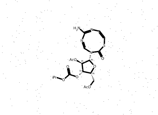 CC(=O)OC[C@H]1O[C@@H](n2cnc(N)nccsc2=O)[C@H](OC(C)=O)[C@H]1OC(=O)OC(C)C